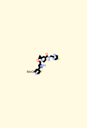 COc1cc(-c2cc(C(=O)N3CCC(C(=O)NCc4ncc(F)cn4)CC34CC4)[nH]n2)c(F)cn1